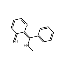 CN/C(=C1/N=CC=CC1=N)c1ccccc1